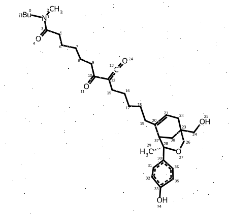 CCCCN(C)C(=O)CCCCCC(=O)C(=C=O)CCCCCC1=CCC2(CO)CO[C@@](C)(c3ccc(O)cc3)C1C2